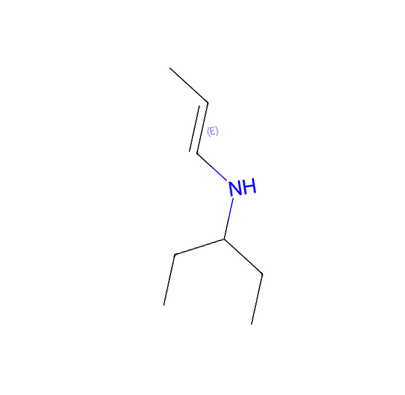 C/C=C/NC(CC)CC